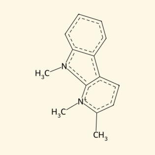 Cc1ccc2c3ccccc3n(C)c2[n+]1C